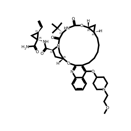 C=C[C@@H]1C[C@]1(NC(=O)[C@@H]1C[C@@H]2CN1C(=O)[C@H](C(C)(C)C)NC(=O)O[C@@H]1C[C@H]1CCCCCc1c(nc3ccccc3c1OC1CCN(CCOC)CC1)O2)C(N)=O